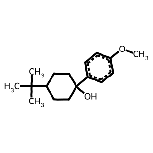 COc1ccc(C2(O)CCC(C(C)(C)C)CC2)cc1